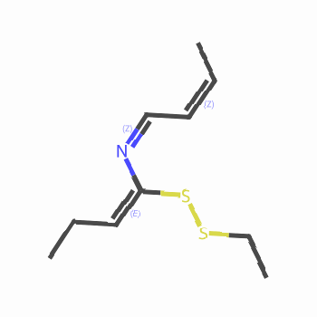 C\C=C/C=N\C(=C/CC)SSCC